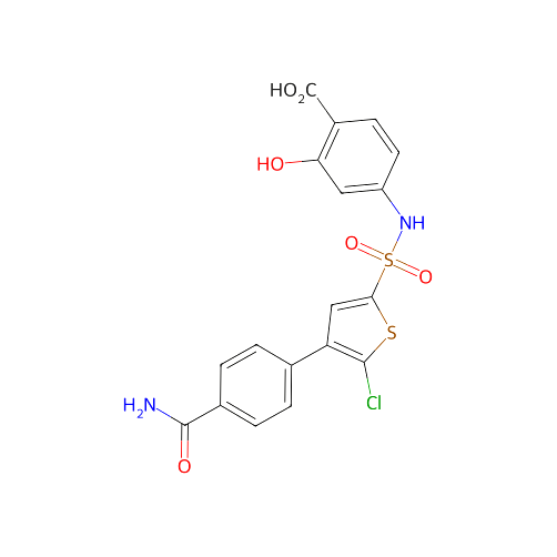 NC(=O)c1ccc(-c2cc(S(=O)(=O)Nc3ccc(C(=O)O)c(O)c3)sc2Cl)cc1